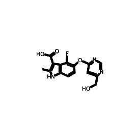 Cc1[nH]c2ccc(Oc3cc(CO)ncn3)c(F)c2c1C(=O)O